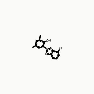 Cc1cc(C)c(O)c(-n2nc3cccc(Cl)c3n2)c1